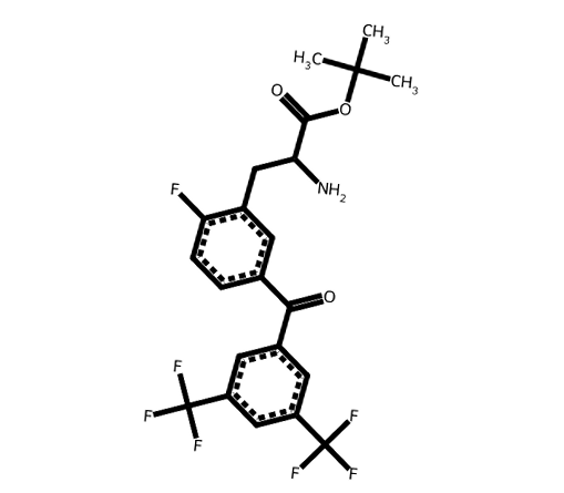 CC(C)(C)OC(=O)C(N)Cc1cc(C(=O)c2cc(C(F)(F)F)cc(C(F)(F)F)c2)ccc1F